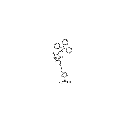 COC(=O)[C@@H](CSC(c1ccccc1)(c1ccccc1)c1ccccc1)NC(=O)/C=C/C=C/c1cnc(N(C)C)s1